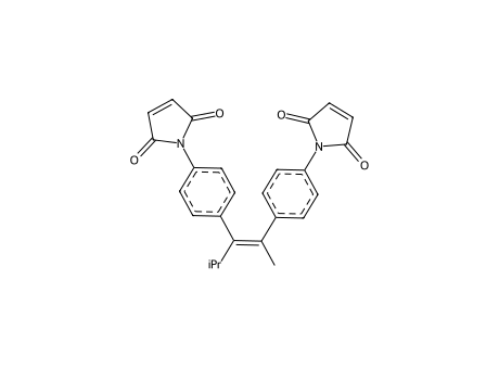 CC(=C(c1ccc(N2C(=O)C=CC2=O)cc1)C(C)C)c1ccc(N2C(=O)C=CC2=O)cc1